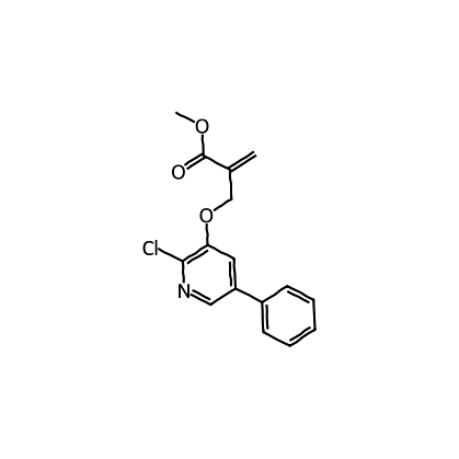 C=C(COc1cc(-c2ccccc2)cnc1Cl)C(=O)OC